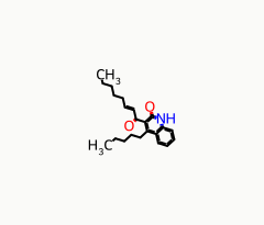 CCCCCC=CC(=O)c1c(CCCCC)c2ccccc2[nH]c1=O